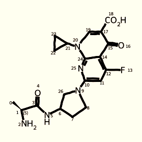 C[C@H](N)C(=O)NC1CCN(c2cc(F)c3c(=O)c(C(=O)O)cn(C4CC4)c3n2)C1